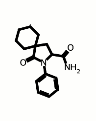 NC(=O)C1CC2(C[CH]CCC2)C(=O)N1c1ccccc1